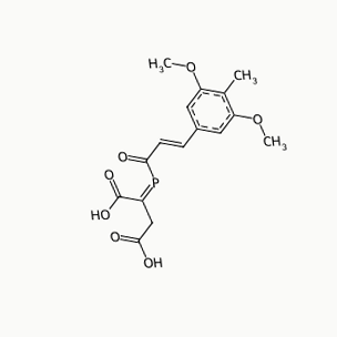 COc1cc(/C=C/C(=O)P=C(CC(=O)O)C(=O)O)cc(OC)c1C